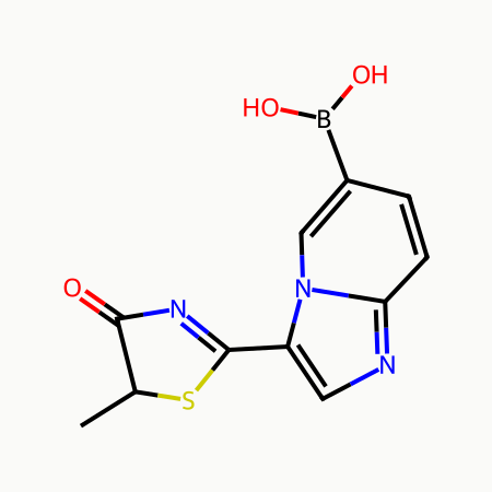 CC1SC(c2cnc3ccc(B(O)O)cn23)=NC1=O